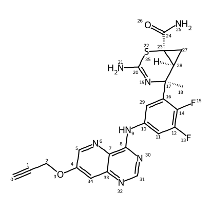 C#CCOc1cnc2c(Nc3cc(F)c(F)c([C@@]4(C)N=C(N)S[C@@]5(C(N)=O)C[C@H]54)c3)ncnc2c1